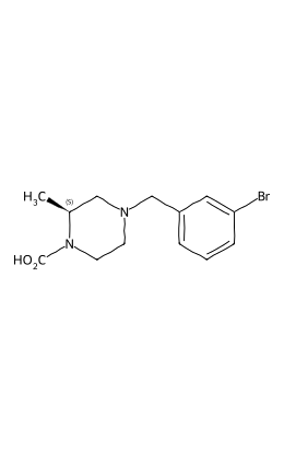 C[C@H]1CN(Cc2cccc(Br)c2)CCN1C(=O)O